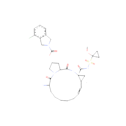 CCOC1(S(=O)(=O)NC(=O)[C@@]23C[C@H]2/C=C\CCCCCC(N)C(=O)N2C[C@H](OC(=O)N4Cc5cccc(Cl)c5C4)C[C@H]2C(=O)N3)CC1